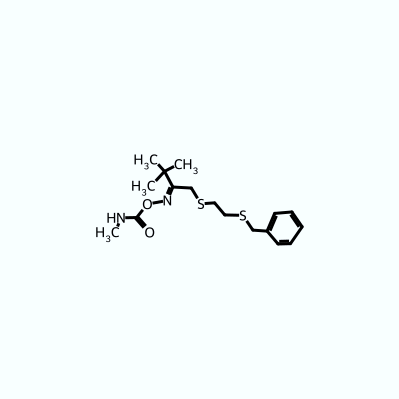 CNC(=O)ON=C(CSCCSCc1ccccc1)C(C)(C)C